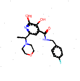 CC(c1cc(C(=O)NCc2ccc(F)cc2)c(O)c(O)n1)N1CCOCC1